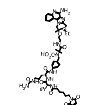 CCOCc1nc2c(N)nc3ccccc3c2n1CC(C)(C)OCCNC(=O)C(C)(C)N(Cc1ccc(NC(=O)[C@H](CCCNC(N)=O)NC(=O)[C@@H](NC(=O)CCCCCN2C(=O)C=CC2=O)C(C)C)cc1)C(=O)O